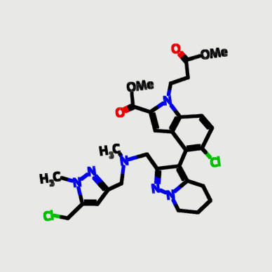 COC(=O)CCn1c(C(=O)OC)cc2c(-c3c(CN(C)Cc4cc(CCl)n(C)n4)nn4c3CCCC4)c(Cl)ccc21